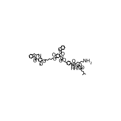 COc1cc2c(cc1OCCCCCOc1cc(N(C)C(=O)OCc3ccc(NC(=O)C(CCCCN)NC(=O)NC(=O)CCC(C)C)cc3)c(C(=O)N3CCc4ccccc43)cc1OC)N=CC1Cc3ccccc3N1C2=O